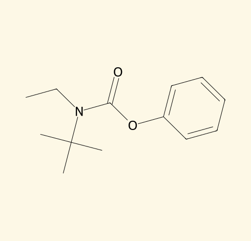 CCN(C(=O)Oc1ccccc1)C(C)(C)C